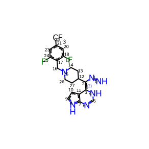 N=N/C(=C1\NC=Nc2[nH]ccc21)C1CCN(Cc2c(F)cc(C(F)(F)F)cc2F)CC1